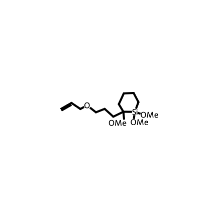 C=CCOCCCC1(OC)CCCC[Si]1(OC)OC